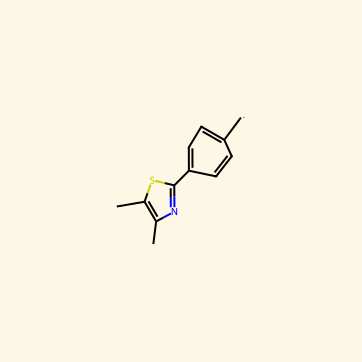 [CH2]c1ccc(-c2nc(C)c(C)s2)cc1